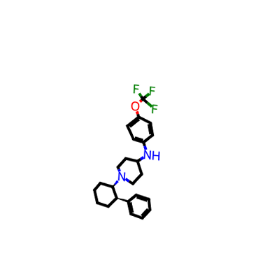 FC(F)(F)Oc1ccc(NC2CCN([C@@H]3CCCC[C@@H]3c3ccccc3)CC2)cc1